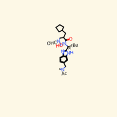 CC(=O)N(C)Cc1ccc2nc([C@@H](NC(=O)C(CC3CCCC3)CN(O)C=O)C(C)(C)C)[nH]c2c1